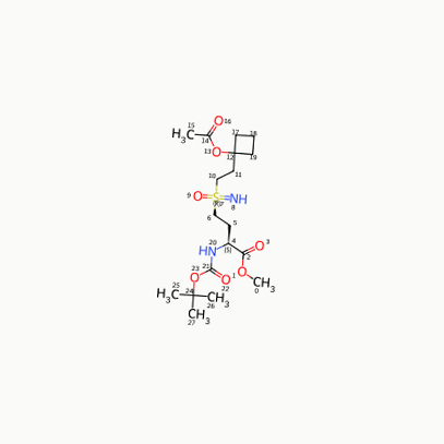 COC(=O)[C@H](CC[S@@](=N)(=O)CCC1(OC(C)=O)CCC1)NC(=O)OC(C)(C)C